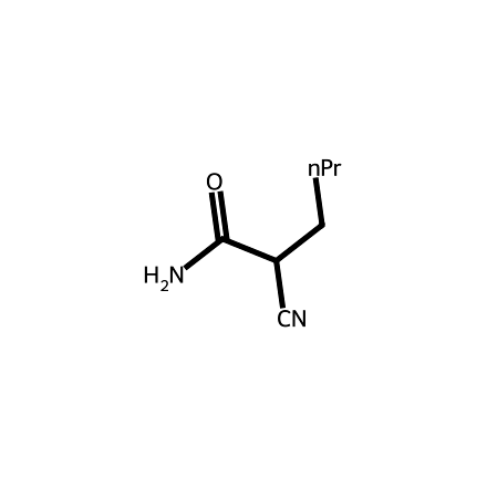 CCCCC(C#N)C(N)=O